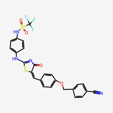 N#Cc1ccc(COc2ccc(C=C3SC(Nc4ccc(NS(=O)(=O)C(F)(F)F)cc4)=NC3=O)cc2)cc1